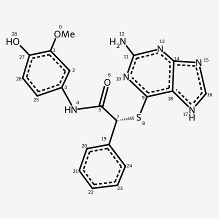 COc1cc(NC(=O)[C@H](Sc2nc(N)nc3nc[nH]c23)c2ccccc2)ccc1O